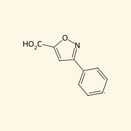 O=C(O)c1cc(-c2cc[c]cc2)no1